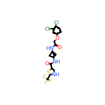 O=C(COc1ccc(Cl)c(Cl)c1)NC12CC(NC(=O)C3CNC(C(F)(F)F)S3)(C1)C2